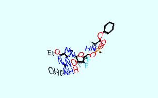 CCOc1nc(NC=O)nc2c1ncn2[C@@H]1O[C@](F)(COP(C)(=O)N[C@@H](C)C(=O)OC2CCCCC2)[C@@H](F)[C@@]1(C)O